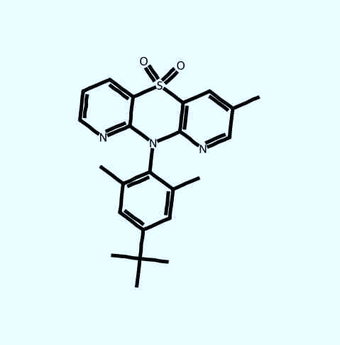 Cc1cnc2c(c1)S(=O)(=O)c1cccnc1N2c1c(C)cc(C(C)(C)C)cc1C